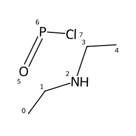 CCNCC.O=PCl